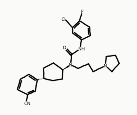 N#Cc1cccc([C@H]2CC[C@H](N(CCCN3CCCC3)C(=O)Nc3ccc(F)c(Cl)c3)CC2)c1